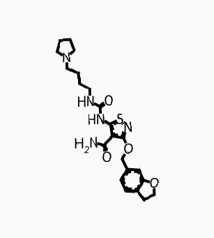 NC(=O)c1c(OCc2ccc3c(c2)OCC3)nsc1NC(=O)NCCCCN1CCCC1